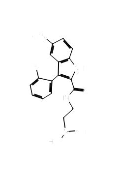 CN(C)CCNC(=O)c1[nH]c2ccc([N+](=O)[O-])cc2c1-c1ccccc1F